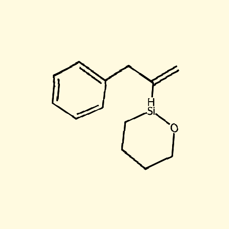 C=C(Cc1ccccc1)[SiH]1CCCCO1